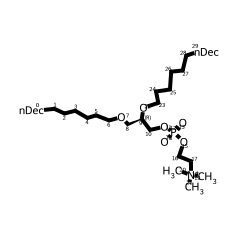 CCCCCCCCCCCCCCCCOC[C@H](COP(=O)([O-])OCC[N+](C)(C)C)OCCCCCCCCCCCCCCCC